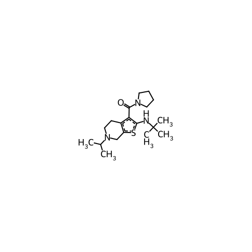 CC(C)N1CCc2c(sc(NC(C)(C)C)c2C(=O)N2CCCC2)C1